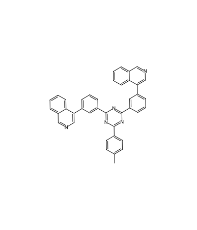 Cc1ccc(-c2nc(-c3cccc(-c4cncc5ccccc45)c3)nc(-c3cccc(-c4cncc5ccccc45)c3)n2)cc1